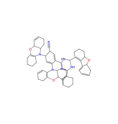 N#CC1C=C(C2=NC(C3C=CCCC3)NC(C3=C4C5=CC=CCC5OC4CCC3)N2)C(N2C3=C(CCC=C3)OC3C=CC=CC32)=CC1N1C2=C(CCCC2)OC2C=CCCC21